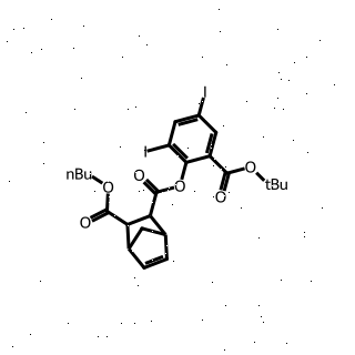 CCCCOC(=O)C1C2C=CC(C2)C1C(=O)Oc1c(I)cc(I)cc1C(=O)OC(C)(C)C